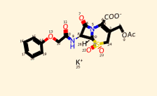 CC(=O)OCC1=C(C(=O)[O-])N2C(=O)[C@@H](NC(=O)COc3ccccc3)[C@@H]2S(=O)(=O)C1.[K+]